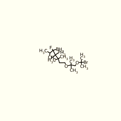 BC(F)(C(C)C)C(F)(P)C(C)(C)CCOC(C)(C)COC(C)(C)Br